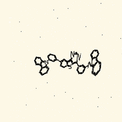 c1cc(-c2ccc3sc4c(-c5cccc(-n6c7ccccc7c7ccccc76)c5)ncnc4c3c2)cc(-n2c3ccccc3c3ccccc32)c1